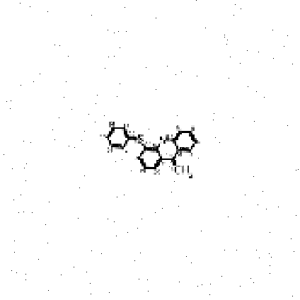 C=C1c2ccccc2Sc2c(Sc3ccccc3)cccc21